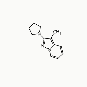 Cc1c(N2CCCC2)nn2ccccc12